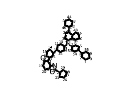 c1ccc(-c2ccc(N(c3ccc(-c4ccc5oc6ccc7oc(-c8ccccc8)nc7c6c5c4)cc3)c3ccc(-c4ccccc4)c4ccccc34)cc2)cc1